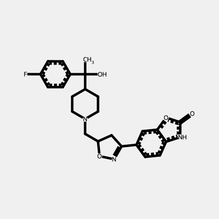 CC(O)(c1ccc(F)cc1)C1CCN(CC2CC(c3ccc4[nH]c(=O)oc4c3)=NO2)CC1